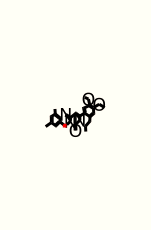 COc1cc2c(cc1OC)-c1c/c(=N/c3c(C)cc(C)cc3C)n(C)c(=O)n1C(C)C2